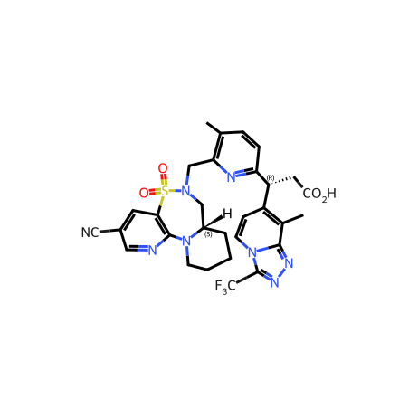 Cc1ccc([C@H](CC(=O)O)c2ccn3c(C(F)(F)F)nnc3c2C)nc1CN1C[C@@H]2CCCCN2c2ncc(C#N)cc2S1(=O)=O